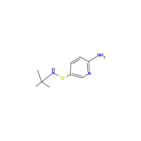 CC(C)(C)NSc1ccc(N)nc1